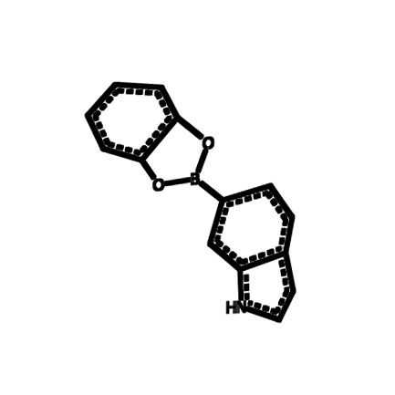 c1ccc2c(c1)OB(c1ccc3cc[nH]c3c1)O2